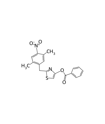 Cc1cc([N+](=O)[O-])c(C)cc1Cc1nc(OC(=O)c2ccccc2)cs1